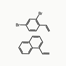 C=Cc1ccc(Br)cc1Br.C=Cc1cccc2ccccc12